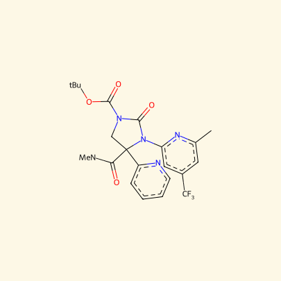 CNC(=O)C1(c2ccccn2)CN(C(=O)OC(C)(C)C)C(=O)N1c1cc(C(F)(F)F)cc(C)n1